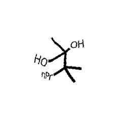 CCCC(C)(C)C(C)(O)O